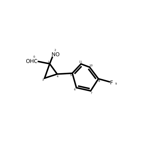 O=CC1(N=O)CC1c1ccc(F)cc1